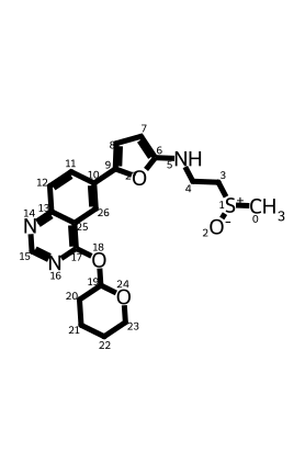 C[S+]([O-])CCNc1ccc(-c2ccc3ncnc(OC4CCCCO4)c3c2)o1